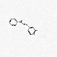 O=C(/C=C/c1ccc(C(=O)O)c(C(=O)O)c1)c1ccccc1